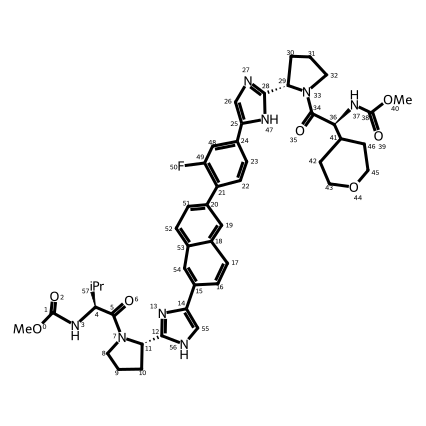 COC(=O)N[C@H](C(=O)N1CCC[C@H]1c1nc(-c2ccc3cc(-c4ccc(-c5cnc([C@@H]6CCCN6C(=O)[C@@H](NC(=O)OC)C6CCOCC6)[nH]5)cc4F)ccc3c2)c[nH]1)C(C)C